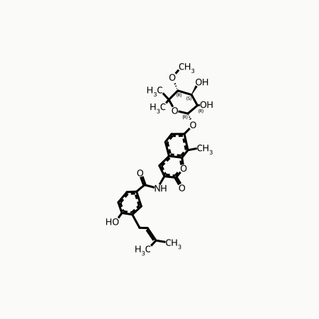 CO[C@@H]1[C@@H](O)[C@@H](O)[C@H](Oc2ccc3cc(NC(=O)c4ccc(O)c(CC=C(C)C)c4)c(=O)oc3c2C)OC1(C)C